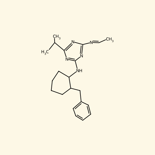 CC=Nc1nc(NC2CCCCC2Cc2ccccc2)nc(C(C)C)n1